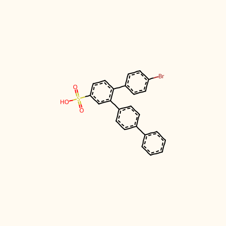 O=S(=O)(O)c1ccc(-c2ccc(Br)cc2)c(-c2ccc(-c3ccccc3)cc2)c1